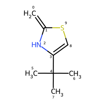 C=C1NC(C(C)(C)C)=CS1